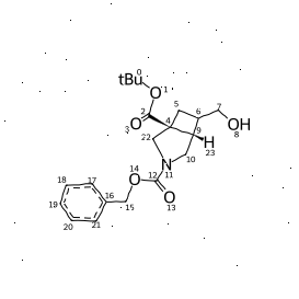 CC(C)(C)OC(=O)[C@@]12CC(CO)[C@@H]1CN(C(=O)OCc1ccccc1)C2